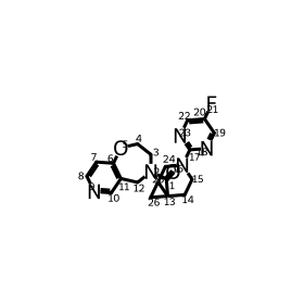 O=C(N1CCOc2ccncc2C1)C12CCN(c3ncc(F)cn3)CC1C2